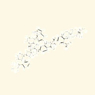 CC(C)c1ccccc1[C@H]1CCCN1C1CC2(CCN(c3ccc(C(=O)NS(=O)(=O)c4cc5c(c([N+](=O)[O-])c4)N[C@@H]([C@H]4CC[C@](C)(O)CC4)CO5)c(Oc4cc5cc[nH]c5nc4OC[C@@H]4COCCN4C)c3)CC2)C1